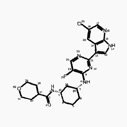 O=C(N[C@H]1CCC[C@@H](Nc2nc(-c3c[nH]c4ncc(Cl)cc34)ncc2F)C1)C1CCOCC1